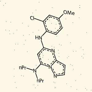 CCCN(CCC)c1cc(Nc2ccc(OC)cc2Cl)nc2ccnn12